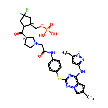 Cc1cc2c(Nc3cc(C)[nH]n3)nc(Sc3ccc(NC(=O)CN4CC[C@@H](C(=O)C5CC(F)(F)C[C@H]5COP(=O)(O)O)C4)cc3)nn2c1